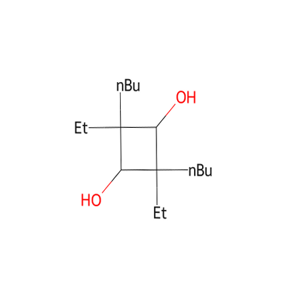 CCCCC1(CC)C(O)C(CC)(CCCC)C1O